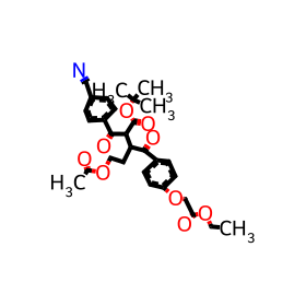 CCOC(=O)COc1ccc(C(=O)C(CCOC(C)=O)C(C(=O)OC(C)(C)C)C(=O)c2ccc(C#N)cc2)cc1